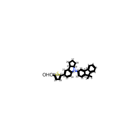 CC1(C)c2ccccc2-c2cc(N3c4ccc(-c5ccc(C=O)s5)cc4C4CCCC43)ccc21